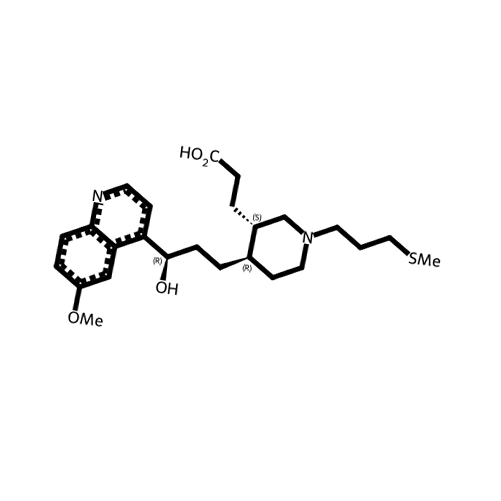 COc1ccc2nccc([C@H](O)CC[C@@H]3CCN(CCCSC)C[C@H]3CCC(=O)O)c2c1